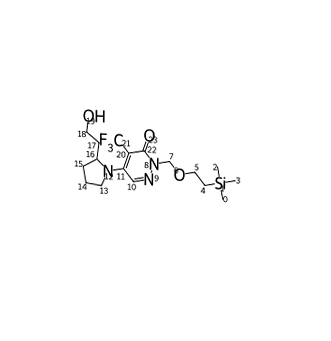 C[Si](C)(C)CCOCn1ncc(N2CCCC2CCO)c(C(F)(F)F)c1=O